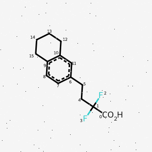 O=C(O)C(F)(F)CCc1ccc2c(c1)CCCC2